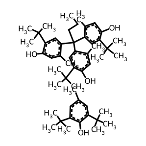 CCCC(c1cc(C(C)(C)C)c(O)cc1C)(c1cc(C(C)(C)C)c(O)cc1C)c1cc(C(C)(C)C)c(O)cc1C.Cc1cc(C(C)(C)C)c(O)c(C(C)(C)C)c1